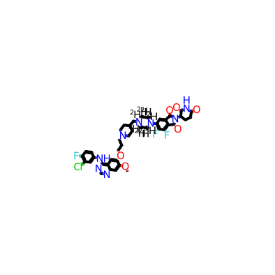 [2H]C1([2H])N(CC2CCN(CCCOc3cc4c(Nc5ccc(F)c(Cl)c5)ncnc4cc3OC)CC2)C([2H])([2H])C([2H])([2H])N(c2cc3c(c(F)c2F)C(=O)N(C2CCC(=O)NC2=O)C3=O)C1([2H])[2H]